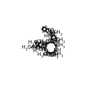 CCCNC[C@]1(O)[C@H](C)O[C@@H](O[C@H]2[C@H](C)[C@@H](O[C@@H]3O[C@H](C)C[C@H](N(C)S(=O)(=O)N4Cc5ccccc5C4)[C@H]3O)[C@](C)(O)C[C@@H](C)CN[C@H](C)[C@@H](O)[C@](C)(O)[C@@H](CC)OC(=O)[C@@H]2C)C[C@@]1(C)OC